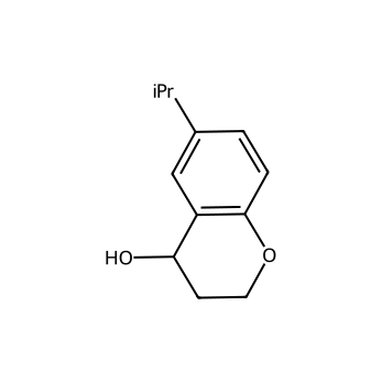 CC(C)c1ccc2c(c1)C(O)CCO2